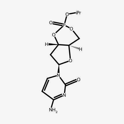 CC(C)OP1(=O)OC[C@H]2O[C@@H](n3ccc(N)nc3=O)C[C@@H]2O1